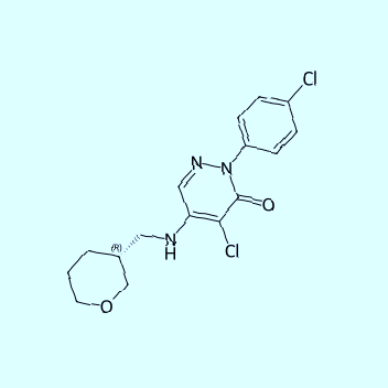 O=c1c(Cl)c(NC[C@H]2CCCOC2)cnn1-c1ccc(Cl)cc1